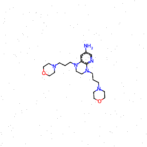 Nc1cnc2c(c1)N(CCCN1CCOCC1)CCN2CCCN1CCOCC1